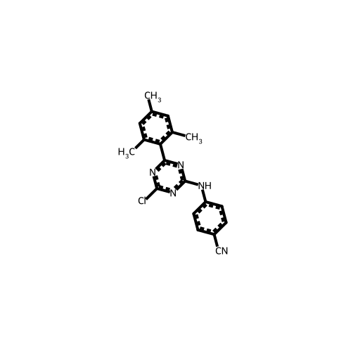 Cc1cc(C)c(-c2nc(Cl)nc(Nc3ccc(C#N)cc3)n2)c(C)c1